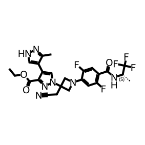 CCOC(=O)c1nn(C2(CC#N)CN(c3cc(F)c(C(=O)N[C@@H](C)C(F)(F)F)cc3F)C2)cc1-c1c[nH]nc1C